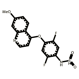 COc1ccc2c(Oc3cc(F)c(N[SH](=O)=O)cc3F)ccnc2c1